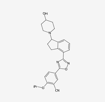 CC(C)Oc1ccc(-c2nc(-c3cccc4c3CCC4N3CCC(O)CC3)no2)cc1C#N